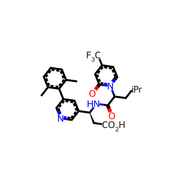 Cc1cccc(C)c1-c1cncc([C@H](CC(=O)O)NC(=O)C(CC(C)C)n2ccc(C(F)(F)F)cc2=O)c1